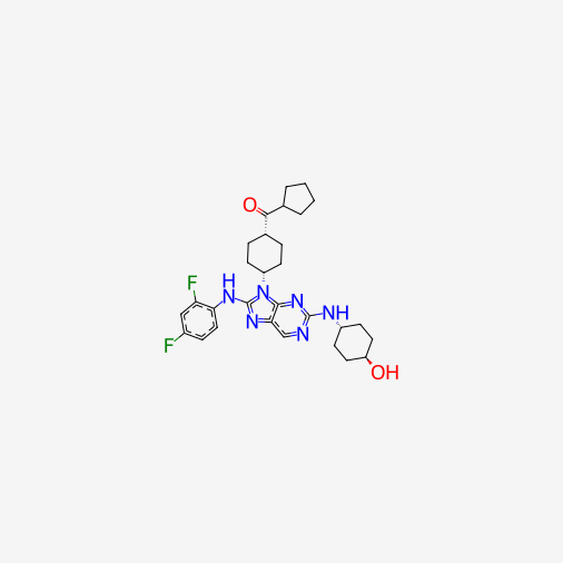 O=C(C1CCCC1)[C@H]1CC[C@@H](n2c(Nc3ccc(F)cc3F)nc3cnc(N[C@H]4CC[C@H](O)CC4)nc32)CC1